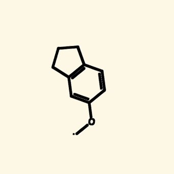 [CH2]Oc1ccc2c(c1)CCC2